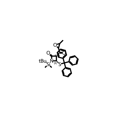 CC1OC1C(=O)[C@H]1C(=O)N([Si](C)(C)C(C)(C)C)[C@@H]1SC(c1ccccc1)(c1ccccc1)c1ccccc1